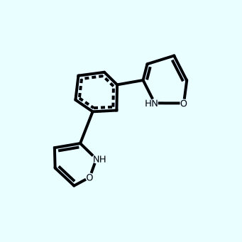 C1=CONC(c2cccc(C3=CC=CON3)c2)=C1